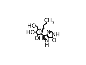 CCCCN1C(CO)C(O)C(O)C1c1c[nH]c2c(=O)[nH]cnc12